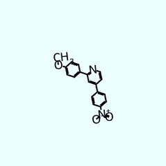 COc1ccc(-c2cc(-c3ccc([N+](=O)[O-])cc3)ccn2)cc1